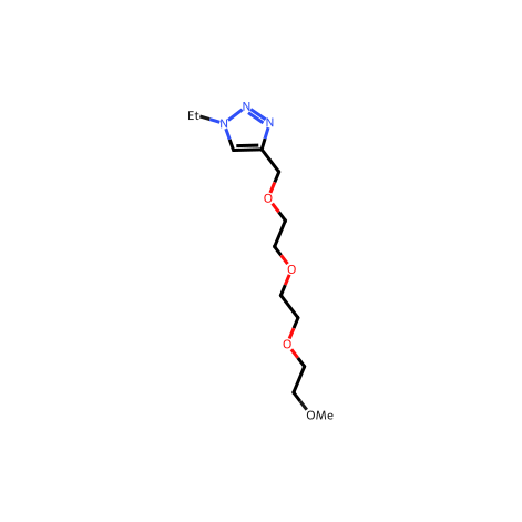 CCn1cc(COCCOCCOCCOC)nn1